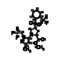 COC(=O)C1CC(S(=O)(=O)c2ccccc2C(F)(F)F)CN1c1cc(C)nn1CC(F)(F)F